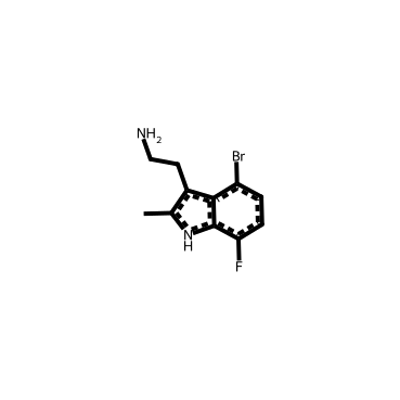 Cc1[nH]c2c(F)ccc(Br)c2c1CCN